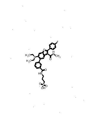 CCN(CC)c1cc2oc(-c3ccc(F)cc3)c(C(=O)NC)c2cc1-c1cccc(C(=O)NCCCS(=O)(=O)O)c1